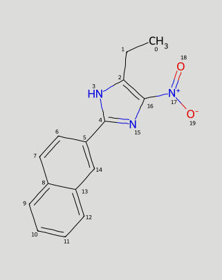 CCc1[nH]c(-c2ccc3ccccc3c2)nc1[N+](=O)[O-]